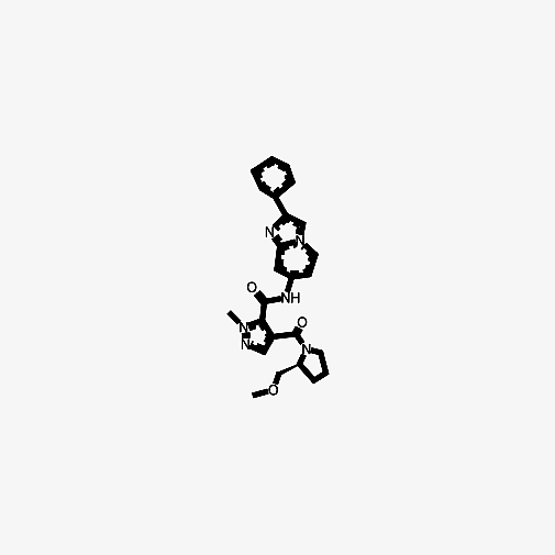 COC[C@@H]1CCCN1C(=O)c1cnn(C)c1C(=O)Nc1ccn2cc(-c3ccccc3)nc2c1